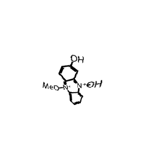 CO[n+]1c2ccccc2[n+](O)c2cc(O)ccc21